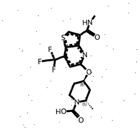 CNC(=O)c1csc2c(C(F)(F)F)cc(O[C@@H]3CCN(C(=O)O)[C@@H](C)C3)nc12